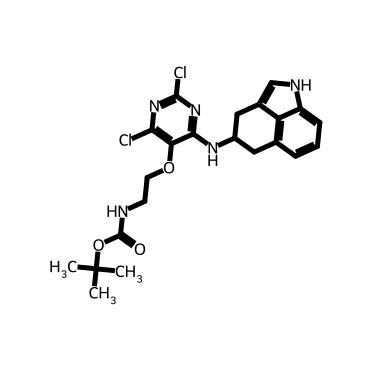 CC(C)(C)OC(=O)NCCOc1c(Cl)nc(Cl)nc1NC1Cc2cccc3[nH]cc(c23)C1